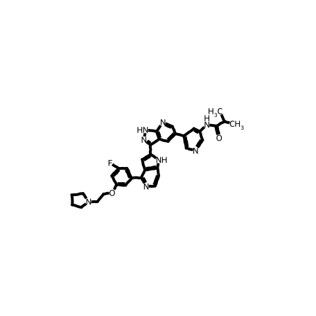 CC(C)C(=O)Nc1cncc(-c2cnc3[nH]nc(-c4cc5c(-c6cc(F)cc(OCCN7CCCC7)c6)nccc5[nH]4)c3c2)c1